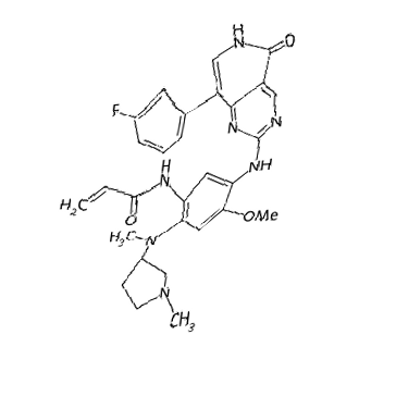 C=CC(=O)Nc1cc(Nc2ncc3c(=O)[nH]cc(-c4cccc(F)c4)c3n2)c(OC)cc1N(C)C1CCN(C)C1